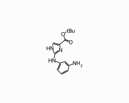 CC(C)(C)OC(=O)c1c[nH]c(Nc2cccc(N)c2)n1